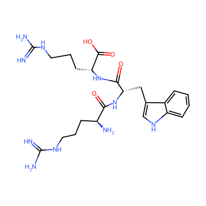 N=C(N)NCCC[C@H](N)C(=O)N[C@@H](Cc1c[nH]c2ccccc12)C(=O)N[C@H](CCCNC(=N)N)C(=O)O